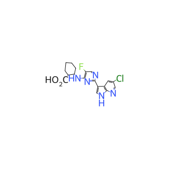 O=C(O)[C@@H]1CCCC[C@@H]1Nc1nc(-c2c[nH]c3ncc(Cl)cc23)ncc1F